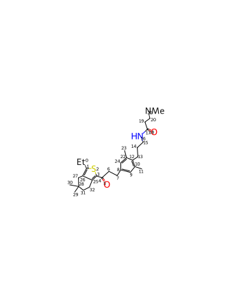 CCc1sc(C(=O)CCc2cc(C)c(CCCNC(=O)CCNC)c(C)c2)c2c1CC(C)(C)CC2